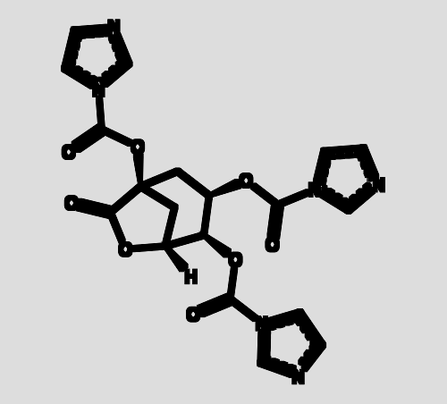 O=C(O[C@@H]1[C@H](OC(=O)n2ccnc2)C[C@]2(OC(=O)n3ccnc3)C[C@H]1OC2=O)n1ccnc1